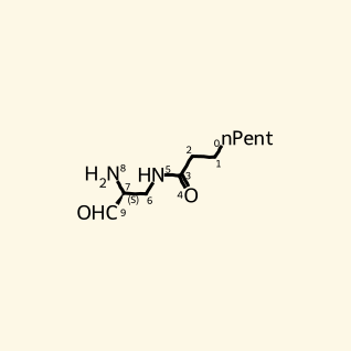 CCCCCCCC(=O)NC[C@H](N)C=O